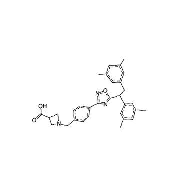 Cc1cc(C)cc(CC(c2cc(C)cc(C)c2)c2nc(-c3ccc(CN4CC(C(=O)O)C4)cc3)no2)c1